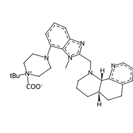 Cn1c(CN2CCC[C@H]3CCc4cccnc4[C@H]32)nc2cccc(N3CC[N+](C(=O)[O-])(C(C)(C)C)CC3)c21